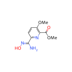 COC(=O)c1nc(/C(N)=N/O)ccc1OC